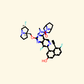 C#Cc1c(F)ccc2cc(O)cc(-c3ncc4c(N5CC6CCC(C5)N6C(=O)N(C)C)nc(OC[C@@]56CCCN5C[C@H](F)C6)nc4c3F)c12